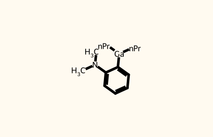 CC[CH2][Ga]([CH2]CC)[c]1ccccc1N(C)C